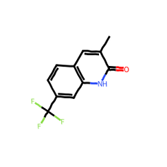 Cc1cc2ccc(C(F)(F)F)cc2[nH]c1=O